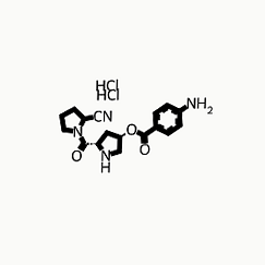 Cl.Cl.N#CC1CCCN1C(=O)[C@@H]1C[C@H](OC(=O)c2ccc(N)cc2)CN1